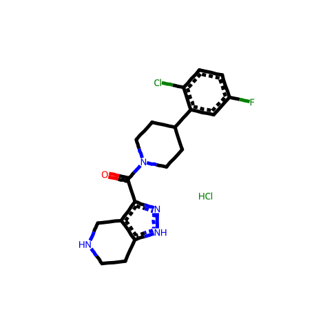 Cl.O=C(c1n[nH]c2c1CNCC2)N1CCC(c2cc(F)ccc2Cl)CC1